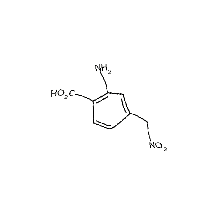 Nc1cc(C[N+](=O)[O-])ccc1C(=O)O